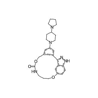 O=C1NCCCOc2ccc3[nH]nc(c3c2)-c2cc(cc(N3CCC(N4CCCC4)CC3)c2)CO1